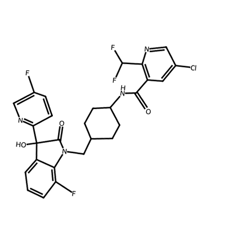 O=C(NC1CCC(CN2C(=O)C(O)(c3ccc(F)cn3)c3cccc(F)c32)CC1)c1cc(Cl)cnc1C(F)F